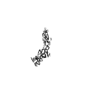 C[C@@H]1CC(Oc2cncc(Nc3cc(OC(F)F)[nH]n3)n2)C[C@@H](C)N1C(=O)OC(C)(C)C